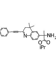 CC(C)OC(=O)C(C)(N)c1ccc2c(c1)C(C)(C)CC(C#Cc1ccccc1)=N2